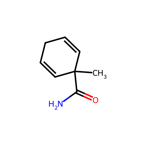 CC1(C(N)=O)C=CCC=C1